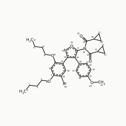 CCCCOc1cc(OCCCC)c(-c2noc(N(C(=O)C3CC3)C(=O)C3CC3)c2-c2ccc(OC)cc2)cc1Br